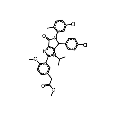 COC(=O)Cc1ccc(OC)c(-c2nc3c(n2C(C)C)C(c2ccc(Cl)cc2)N(c2cc(Cl)ccc2C)C3=O)c1